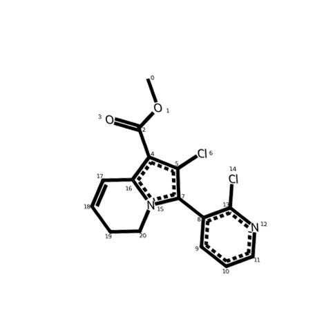 COC(=O)c1c(Cl)c(-c2cccnc2Cl)n2c1C=CCC2